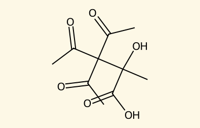 CC(=O)C(C(C)=O)(C(C)=O)C(C)(O)C(=O)O